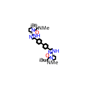 CC[C@@H](C)[C@H](NC)C(=O)N1CCC[C@H]1c1nc(-c2ccc(-c3ccc(-c4cnc([C@@H]5CCCN5C(=O)[C@@H](NC)[C@H](C)CC)[nH]4)cc3)cc2)c[nH]1